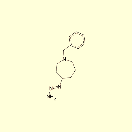 NN=NC1CCCN(Cc2ccccc2)CC1